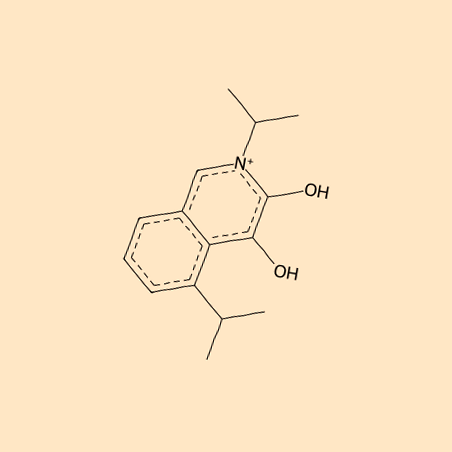 CC(C)c1cccc2c[n+](C(C)C)c(O)c(O)c12